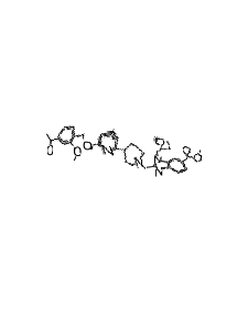 COC(=O)c1ccc2nc(CN3CCC(c4cccc(OCc5ccc(C(C)=O)cc5OC)n4)CC3)n(CC3CCO3)c2c1